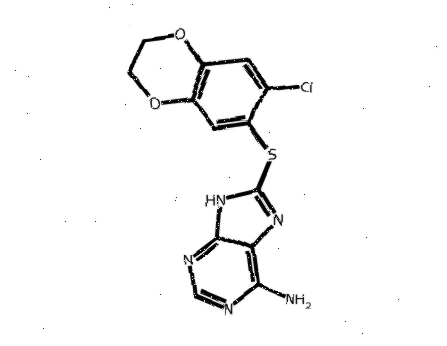 Nc1ncnc2[nH]c(Sc3cc4c(cc3Cl)OCCO4)nc12